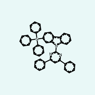 c1ccc(-c2cc(-c3ccccc3)nc(-n3c4ccccc4c4ccc([Si](c5ccccc5)(c5ccccc5)c5ccccc5)cc43)n2)cc1